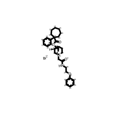 O=C(C[N+]12CCC(CC1)[C@@H](OC(=O)C1(c3ccccc3)CCCCCC1)C2)NCCOc1ccccc1.[Br-]